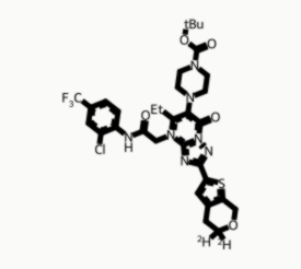 [2H]C1([2H])Cc2cc(-c3nc4n(CC(=O)Nc5ccc(C(F)(F)F)cc5Cl)c(CC)c(N5CCN(C(=O)OC(C)(C)C)CC5)c(=O)n4n3)sc2CO1